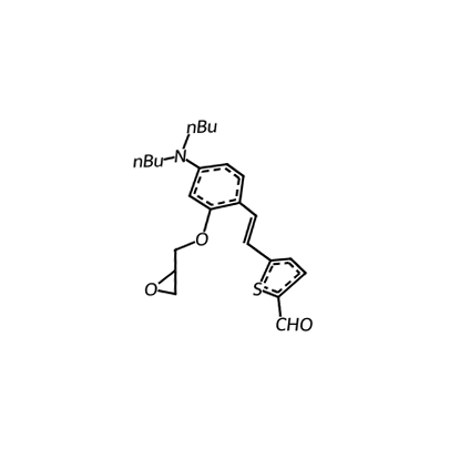 CCCCN(CCCC)c1ccc(C=Cc2ccc(C=O)s2)c(OCC2CO2)c1